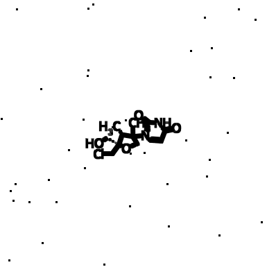 C[C@H]1C(C)(n2ccc(=O)[nH]c2=O)CO[C@@]1(CO)CCl